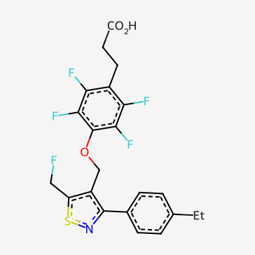 CCc1ccc(-c2nsc(CF)c2COc2c(F)c(F)c(CCC(=O)O)c(F)c2F)cc1